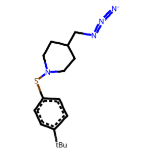 CC(C)(C)c1ccc(SN2CCC(CN=[N+]=[N-])CC2)cc1